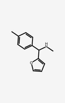 CNC(c1ccc(C)cc1)c1ccco1